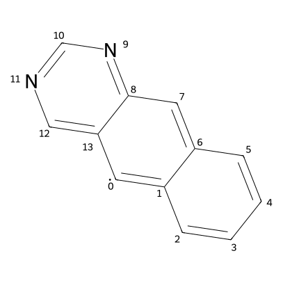 [c]1c2ccccc2cc2ncncc12